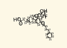 O=C(O)C(F)(F)F.O=C(O)CCN1CCC2(CC1)COc1cc(OCCCCc3ccccc3)ccc12